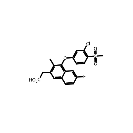 Cc1c(CC(=O)O)cc2ccc(F)cc2c1Oc1ccc(S(C)(=O)=O)c(Cl)c1